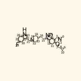 CN(C)Cc1c(OCC2CC2)ccc2c(CCC3CCN(Cc4c[nH]c5ccc(F)cc45)CC3)noc12